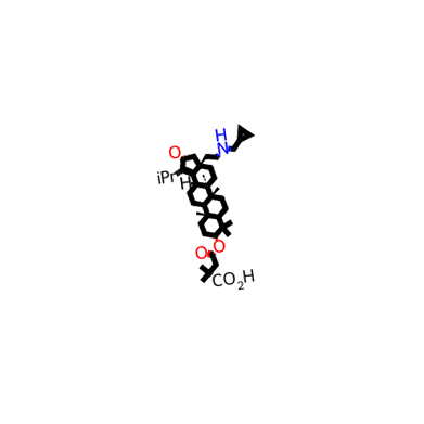 CC(C)C1=C2[C@H]3CCC4[C@@]5(C)CC[C@H](OC(=O)CC(C)(C)C(=O)O)C(C)(C)C5CC[C@@]4(C)[C@]3(C)CC[C@@]2(CCNCC2CC2)CC1=O